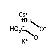 CC(C)(C)[O-].O=C([O-])O.[Cs+].[K+]